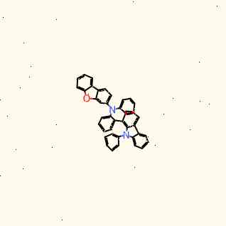 c1ccc(N(c2ccc3c(c2)oc2ccccc23)c2ccccc2-c2cccc3c4ccccc4n(-c4ccccc4)c23)cc1